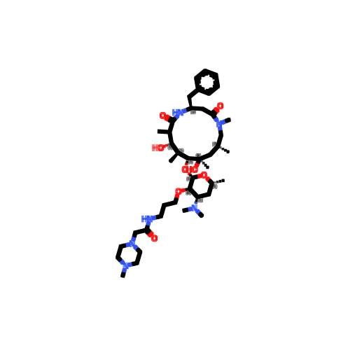 CC1C(=O)N[C@@H](Cc2ccccc2)CC(=O)N(C)C[C@H](C)C[C@@](C)(O)[C@H](O[C@@H]2O[C@H](C)C[C@H](N(C)C)[C@H]2OCCCNC(=O)CN2CCN(C)CC2)[C@@H](C)[C@@H]1O